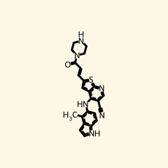 Cc1c(Nc2c(C#N)cnc3sc(C=CC(=O)N4CCNCC4)cc23)ccc2[nH]ccc12